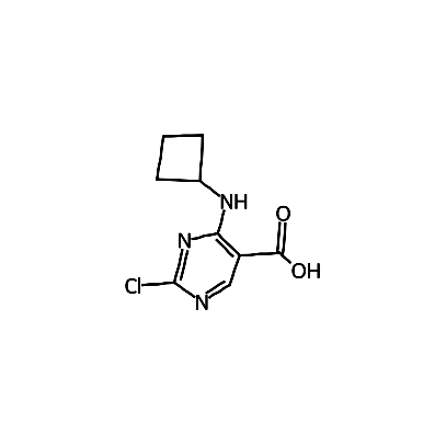 O=C(O)c1cnc(Cl)nc1NC1CCC1